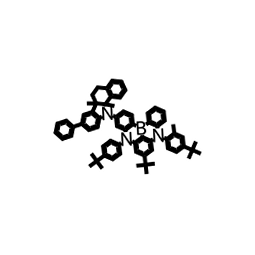 Cc1cc(C(C)(C)C)ccc1N1c2ccccc2B2c3ccc(N4c5ccc(-c6ccccc6)cc5C5(C)CCc6ccccc6C45C)cc3N(c3ccc(C(C)(C)C)cc3)c3cc(C(C)(C)C)cc1c32